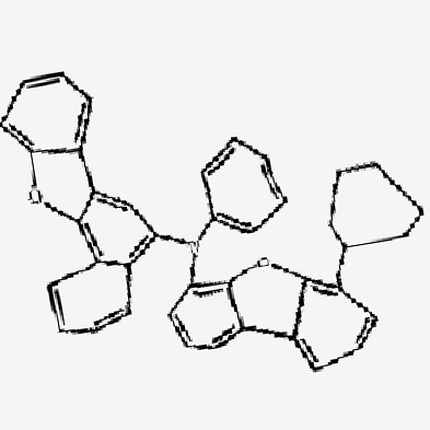 c1ccc(N(c2cc3c4ccccc4oc3c3ccccc23)c2cccc3c2oc2c(C4CCCCC4)cccc23)cc1